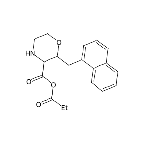 CCC(=O)OC(=O)C1NCCOC1Cc1cccc2ccccc12